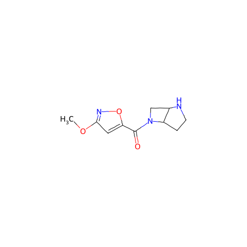 COc1cc(C(=O)N2CC3NCCC32)on1